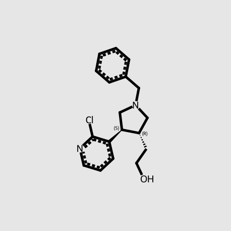 OCC[C@H]1CN(Cc2ccccc2)C[C@@H]1c1cccnc1Cl